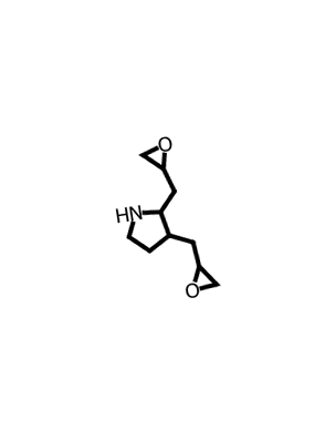 C1CC(CC2CO2)C(CC2CO2)N1